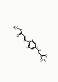 COC(=O)C=Cc1ccc(CCC(C)=O)cc1